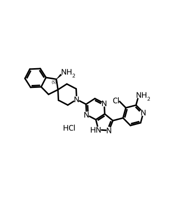 Cl.Nc1nccc(-c2n[nH]c3nc(N4CCC5(CC4)Cc4ccccc4[C@H]5N)cnc23)c1Cl